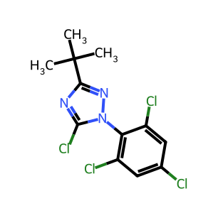 CC(C)(C)c1nc(Cl)n(-c2c(Cl)cc(Cl)cc2Cl)n1